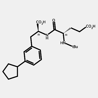 CC(C)(C)N[C@@H](CCC(=O)O)C(=O)N[C@@H](Cc1cccc(C2CCCC2)c1)C(=O)O